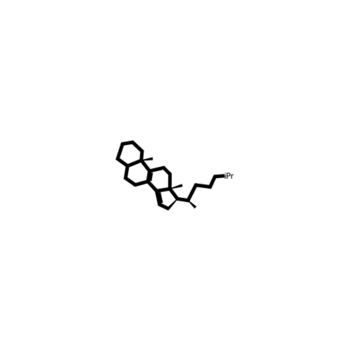 CC(C)CCC[C@@H](C)[C@H]1CC=C2C3=C(CC[C@@]21C)[C@@]1(C)CCCCC1CC3